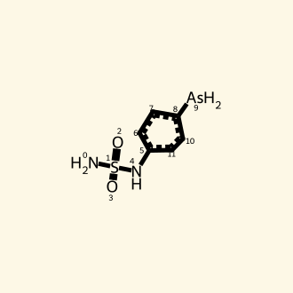 NS(=O)(=O)Nc1ccc([AsH2])cc1